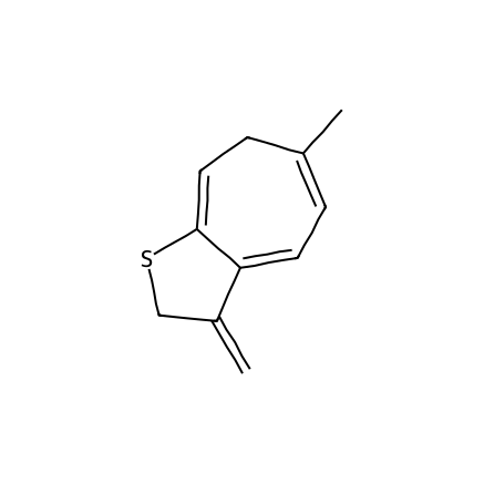 C=C1CSC2=CCC(C)=CC=C12